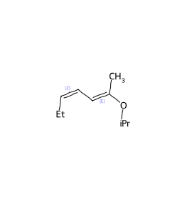 CC/C=C\C=C(/C)OC(C)C